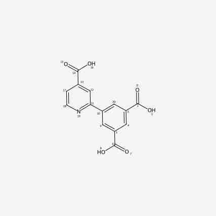 O=C(O)c1cc(C(=O)O)cc(-c2cc(C(=O)O)ccn2)c1